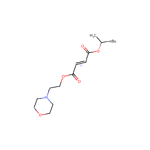 CCCCC(C)OC(=O)/C=C/C(=O)OCCN1CCOCC1